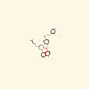 CC(C)=CCCC1=CC(c2c(O)cc3c(c2O)C(=O)CC(c2ccc(C)cc2O)O3)C(C(=O)c2ccc(O)cc2O)C(c2ccc(O)cc2O)C1